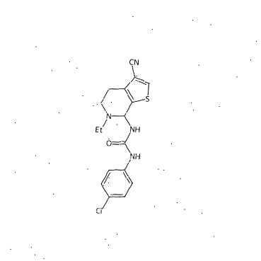 CCN1CCc2c(C#N)csc2C1NC(=O)Nc1ccc(Cl)cc1